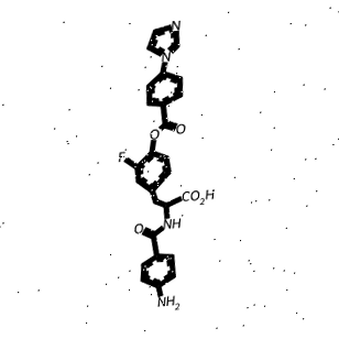 Nc1ccc(C(=O)NC(Cc2ccc(OC(=O)c3ccc(-n4ccnc4)cc3)c(F)c2)C(=O)O)cc1